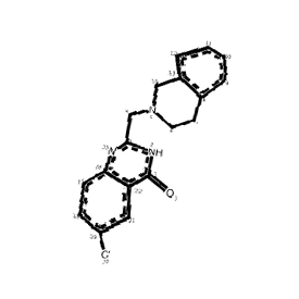 O=c1[nH]c(CN2CCc3ccccc3C2)nc2ccc(Cl)cc12